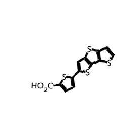 O=C(O)c1ccc(-c2cc3sc4ccsc4c3s2)s1